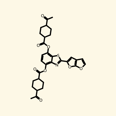 CC(=O)C1CCC(C(=O)Oc2ccc(OC(=O)C3CCC(C(C)=O)CC3)c3sc(-c4cc5ccoc5o4)nc23)CC1